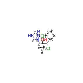 OC(Cc1ccccc1Cl)(CN1CNCN1)C1(Cl)CC1